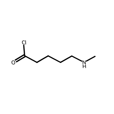 CNCCCCC(=O)Cl